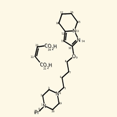 CC(C)N1CCN(CCCCOc2cc3n(n2)CCCC3)CC1.O=C(O)/C=C\C(=O)O